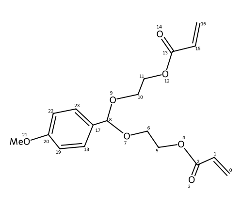 C=CC(=O)OCCOC(OCCOC(=O)C=C)c1ccc(OC)cc1